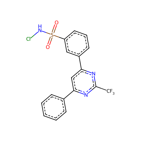 O=S(=O)(NCl)c1cccc(-c2cc(-c3ccccc3)nc(C(F)(F)F)n2)c1